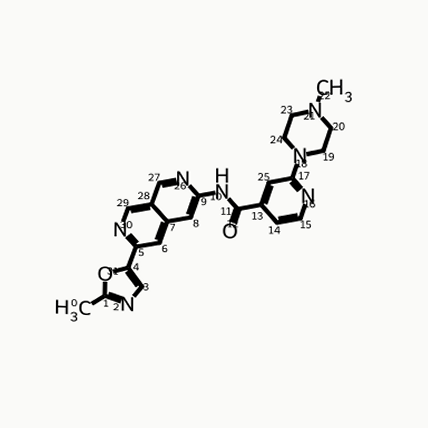 Cc1ncc(-c2cc3cc(NC(=O)c4ccnc(N5CCN(C)CC5)c4)ncc3cn2)o1